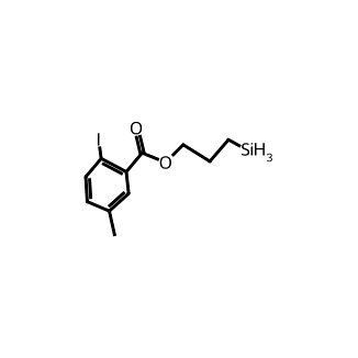 Cc1ccc(I)c(C(=O)OCCC[SiH3])c1